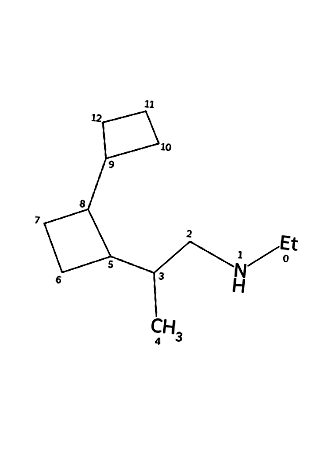 CCNCC(C)C1CCC1C1CCC1